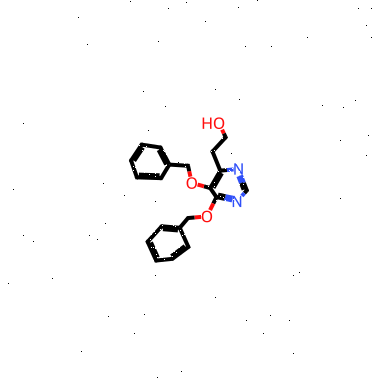 OCCc1ncnc(OCc2ccccc2)c1OCc1ccccc1